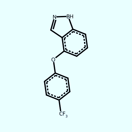 FC(F)(F)c1ccc(Oc2cccc3c2C=NB3)cc1